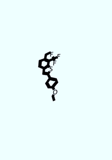 CCOc1ccc(-c2cc3ccc(CC)c(C(F)(F)F)c3s2)cc1